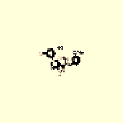 COc1cccc(CNc2n[nH]c3ncn(-c4cccc(Cl)c4)c(=N)c23)c1.Cl